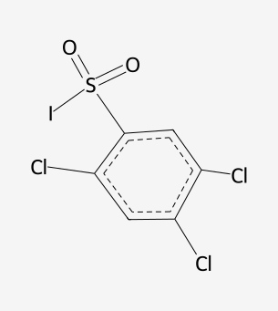 O=S(=O)(I)c1cc(Cl)c(Cl)cc1Cl